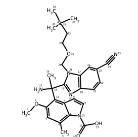 COc1cc(C)c2c(ccn2C(=O)O)c1C(C)(N)c1nc2ccc(C#N)cc2n1COCC[Si](C)(C)C